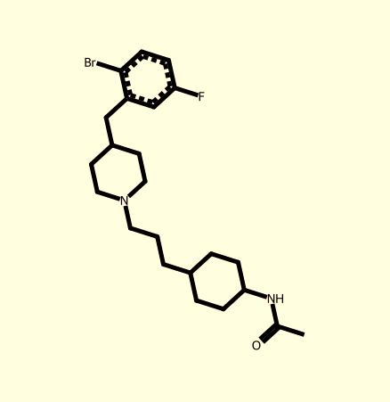 CC(=O)NC1CCC(CCCN2CCC(Cc3cc(F)ccc3Br)CC2)CC1